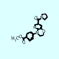 COC(=O)c1ccc(N2CCOc3cc(C(=O)N4CCCC4)cnc32)cc1